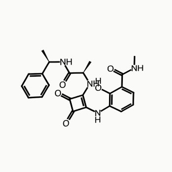 CNC(=O)c1cccc(Nc2c(N[C@H](C)C(=O)N[C@H](C)c3ccccc3)c(=O)c2=O)c1O